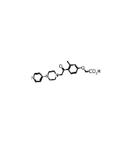 Cc1cc(OCC(=O)O)ccc1C(=O)CN1CCN(c2ccncc2)CC1